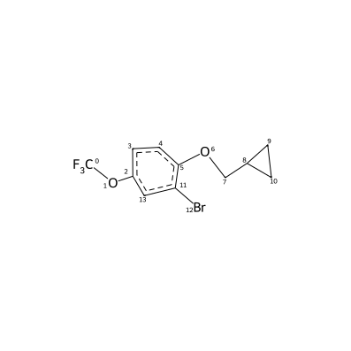 FC(F)(F)Oc1ccc(OCC2CC2)c(Br)c1